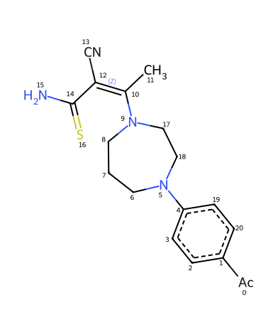 CC(=O)c1ccc(N2CCCN(/C(C)=C(/C#N)C(N)=S)CC2)cc1